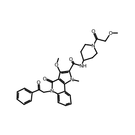 COCC(=O)N1CCC(NC(=O)c2c(OC)c3c(=O)n(CC(=O)c4ccccc4)c4ccccc4c3n2C)CC1